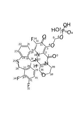 O=C1c2c(OCOP(=O)(O)O)c(=O)c(F)cn2N([C@@H]2c3ccccc3SCc3c2ccc(F)c3F)[C@@H]2COCCN12